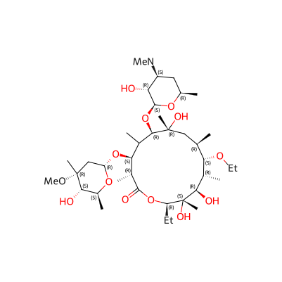 CCO[C@@H]1[C@H](C)[C@@H](O)[C@](C)(O)[C@@H](CC)OC(=O)[C@H](C)[C@@H](O[C@H]2C[C@@](C)(OC)[C@@H](O)[C@H](C)O2)C(C)[C@@H](O[C@@H]2O[C@H](C)C[C@H](NC)[C@H]2O)[C@](C)(O)C[C@H]1C